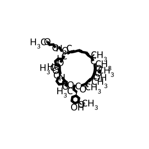 COCCOCCO[C@H]1C[C@@H]2CC[C@@H](C)[C@@](O)(O2)C(=O)C(=O)N2CCCC[C@H]2C(=O)O[C@H]([C@H](C)C[C@@H]2CC[C@@H](O)[C@H](OC)C2)CC(=O)[C@H](C)/C=C(\C)[C@@H](O)[C@@H](OC)C(=O)[C@H](C)C[C@H](C)/C=C/C=C/C=C/1C